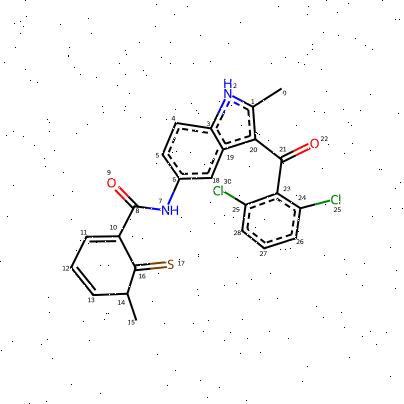 Cc1[nH]c2ccc(NC(=O)C3=CC=CC(C)C3=S)cc2c1C(=O)c1c(Cl)cccc1Cl